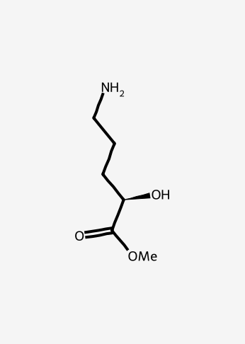 COC(=O)[C@H](O)CCCN